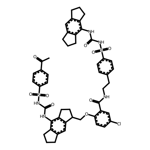 CC(=O)c1ccc(S(=O)(=O)NC(=O)Nc2c3c(cc4c2CCC4COc2ccc(Cl)cc2C(=O)NCCc2ccc(S(=O)(=O)NC(=O)Nc4c5c(cc6c4CCC6)CCC5)cc2)CCC3)cc1